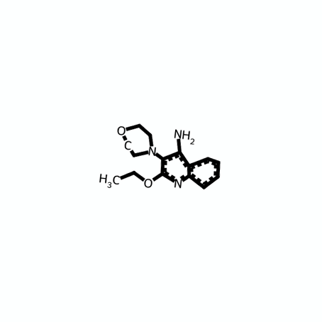 CCOc1nc2ccccc2c(N)c1N1CCOCC1